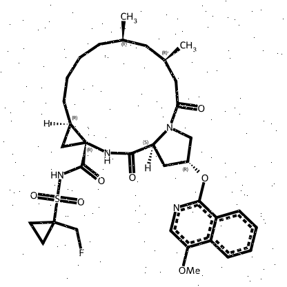 COc1cnc(O[C@@H]2C[C@H]3C(=O)N[C@]4(C(=O)NS(=O)(=O)C5(CF)CC5)C[C@H]4CCCC[C@@H](C)C[C@@H](C)CC(=O)N3C2)c2ccccc12